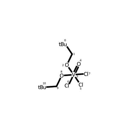 CC(C)(C)C[O][V](=[O])([Cl])([Cl])([Cl])[O]CC(C)(C)C